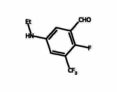 CCNc1cc(C=O)c(F)c(C(F)(F)F)c1